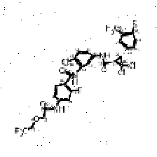 O=C(COCC(F)(F)F)Nc1ccc(C(=O)Nc2cc(NC(=O)[C@H]3[C@H](c4ccc(F)c(C(F)(F)F)c4)C3(Cl)Cl)ccc2Cl)c(F)c1